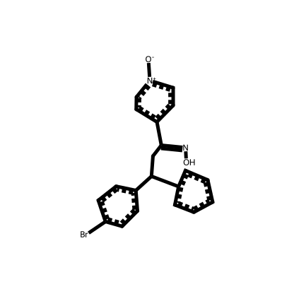 [O-][n+]1ccc(/C(CC(c2ccccc2)c2ccc(Br)cc2)=N/O)cc1